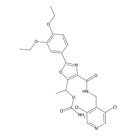 CCOc1ccc(-c2nc(C(=O)NCc3c(Cl)cncc3Cl)c(C(C)OC(N)=O)o2)cc1OCC